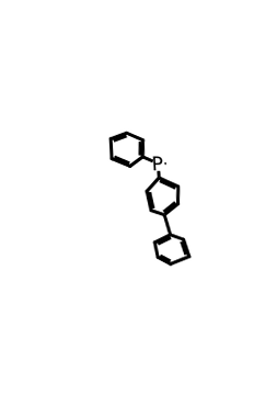 c1ccc([P]c2ccc(-c3ccccc3)cc2)cc1